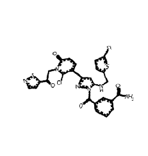 NC(=O)c1cccc(C(=O)n2nc(-c3ccc(=O)n(CC(=O)c4ccns4)c3Cl)cc2NCc2ccc(Cl)s2)c1